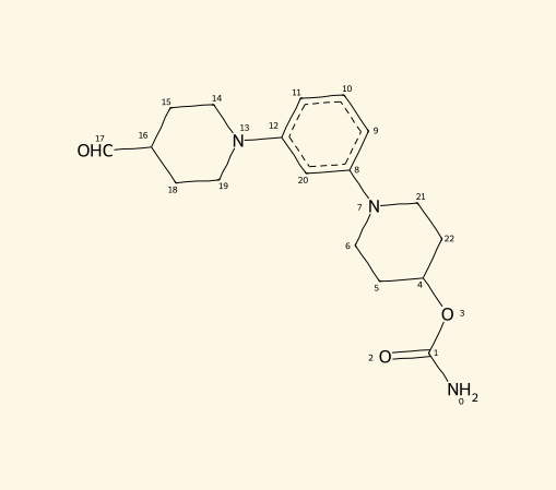 NC(=O)OC1CCN(c2cccc(N3CCC(C=O)CC3)c2)CC1